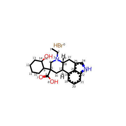 Br.CCN1CC(C(=O)O)(C2CCCCC2O)C[C@@H]2c3cccc4[nH]cc(c34)C[C@H]21